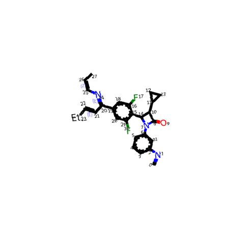 C=Nc1cccc(N2C(=O)C(C3CC3)C2c2c(F)cc(C(/C=C/CC)=N/C=C\C)cc2F)c1